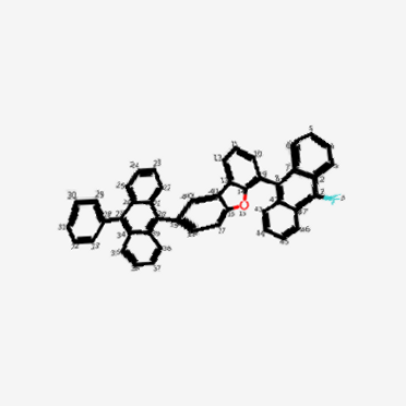 Fc1c2ccccc2c(-c2cccc3c2oc2ccc(-c4c5ccccc5c(-c5ccccc5)c5ccccc45)cc23)c2ccccc12